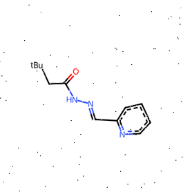 CC(C)(C)CC(=O)N/N=C/c1ccccn1